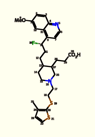 COc1ccc2nccc([C@@H](F)CCC3CCN(CCSc4sccc4C)CC3CCC(=O)O)c2c1